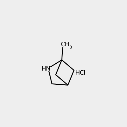 CC12CC(CN1)C2.Cl